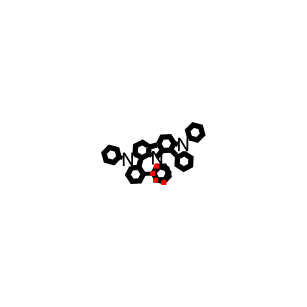 c1ccc(-c2cccc3c2c2c(ccc4c5ccc6c(c7ccccc7n6-c6ccccc6)c5n(-c5ccccc5)c42)n3-c2ccccc2)cc1